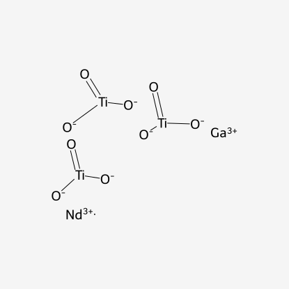 [Ga+3].[Nd+3].[O]=[Ti]([O-])[O-].[O]=[Ti]([O-])[O-].[O]=[Ti]([O-])[O-]